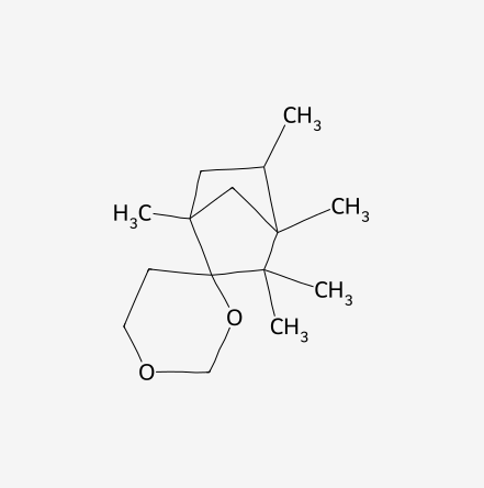 CC1CC2(C)CC1(C)C(C)(C)C21CCOCO1